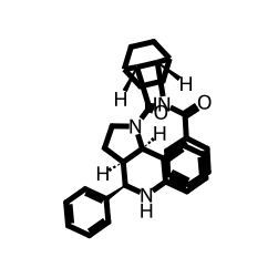 O=C(N[C@H]1C2CCC(CC2)[C@H]1C(=O)N1CC[C@@H]2[C@H](c3ccccc3)Nc3ccccc3[C@@H]21)c1ccccc1